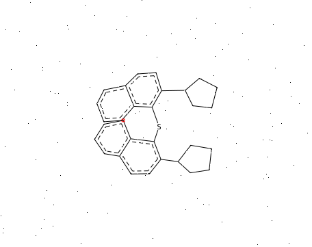 c1ccc2c(Sc3c(C4CCCC4)ccc4ccccc34)c(C3CCCC3)ccc2c1